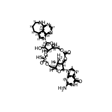 Nc1nc2c(ncn2[C@@H]2O[C@@H]3COP(=O)(S)O[C@H]4[C@@H](O)[C@H](n5cc6c7c(ncnc75)NCCC6)O[C@@H]4COC(=O)O[C@@H]2[C@@H]3N)c(=O)[nH]1